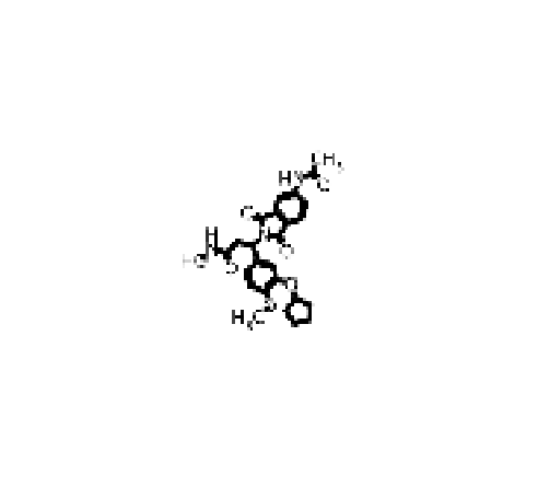 COc1ccc(C(CC(=O)NO)N2C(=O)c3ccc(NC(C)=O)cc3C2=O)cc1OC1CCCC1